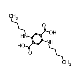 CCCCCNc1cc(C(=O)O)c(NCCCCC)cc1C(=O)O